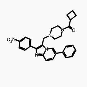 O=C(C1CCC1)N1CCN(Cc2c(-c3ccc([N+](=O)[O-])cc3)nc3ccc(-c4ccccc4)cn23)CC1